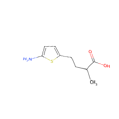 CC(CCc1ccc(N)s1)C(=O)O